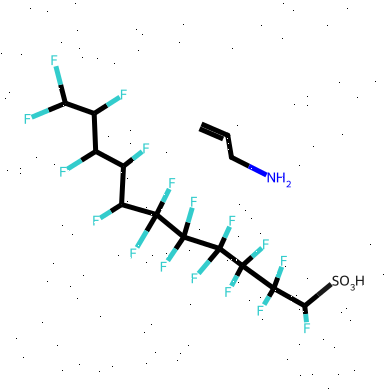 C=CCN.O=S(=O)(O)C(F)C(F)(F)C(F)(F)C(F)(F)C(F)(F)C(F)(F)C(F)C(F)C(F)C(F)C(F)F